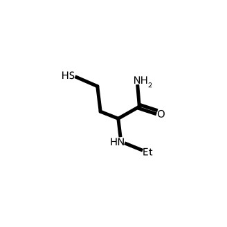 CCNC(CCS)C(N)=O